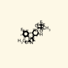 COc1ncc(C2CCN(C(=O)C(C)(O)C(F)(F)F)CC2)n1-c1ccc(F)cc1